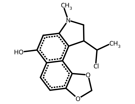 CC(Cl)C1CN(C)c2cc(O)c3ccc4c(c3c21)OCO4